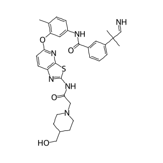 Cc1ccc(NC(=O)c2cccc(C(C)(C)C=N)c2)cc1Oc1ccc2nc(NC(=O)CN3CCC(CO)CC3)sc2n1